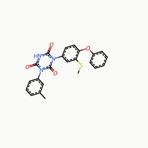 CSc1cc(-n2c(=O)[nH]c(=O)n(-c3cccc(C)c3)c2=O)ccc1Oc1ccccc1